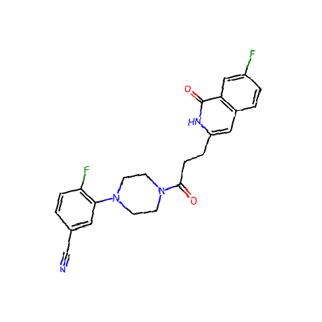 N#Cc1ccc(F)c(N2CCN(C(=O)CCc3cc4ccc(F)cc4c(=O)[nH]3)CC2)c1